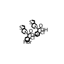 Br.O=C(O)[C@H](c1ccccc1Cl)N1CCc2sccc2C1.O=C(O)[C@H](c1ccccc1Cl)N1CCc2sccc2C1